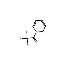 O=C(N1[C]=CC=CC1)C(F)(F)F